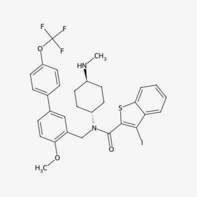 CN[C@H]1CC[C@H](N(Cc2cc(-c3ccc(OC(F)(F)F)cc3)ccc2OC)C(=O)c2sc3ccccc3c2I)CC1